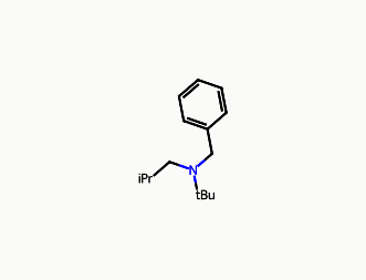 CC(C)CN(Cc1ccccc1)C(C)(C)C